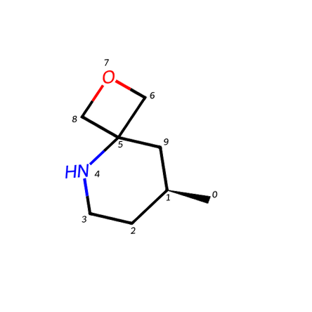 C[C@H]1CCNC2(COC2)C1